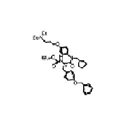 CCN(CC)CCCOc1ccc(N(CC2CCCC2)C(=O)[C@@H](Cc2ccc(OCc3ccccc3)cc2)NC(=O)OC(C)(C)C)cc1